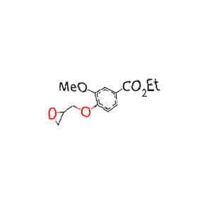 CCOC(=O)c1ccc(OCC2CO2)c(OC)c1